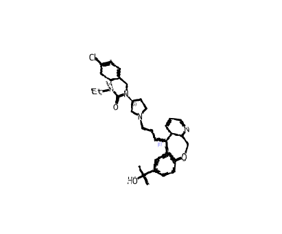 CCNC(=O)N(CC1=CC=C(Cl)CC1)[C@H]1CCN(CC/C=C2/c3cc(C(C)(C)O)ccc3OCC3N=CC=CC23)C1